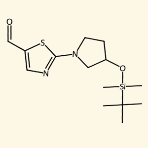 CC(C)(C)[Si](C)(C)OC1CCN(c2ncc(C=O)s2)C1